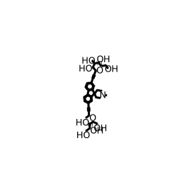 CC(C#Cc1ccc2c(c1)C1(CCN(C)CC1)c1cc(C#CC3OC(CO)[C@@H](O)C(O)C3O)ccc1-2)OC(CO)[C@@H](O)C(O)CO